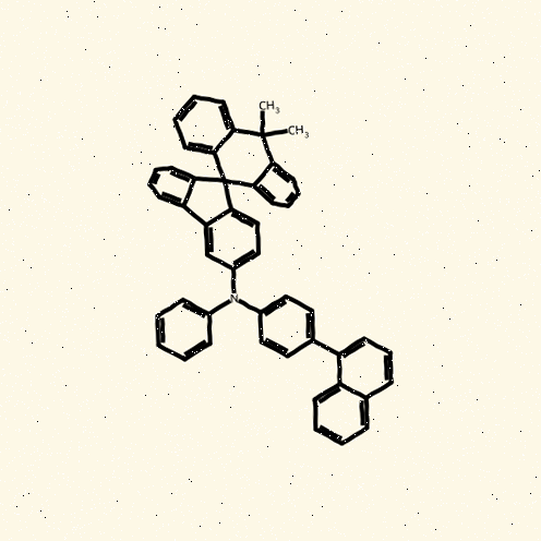 CC1(C)c2ccccc2C2(c3ccccc3-c3cc(N(c4ccccc4)c4ccc(-c5cccc6ccccc56)cc4)ccc32)c2ccccc21